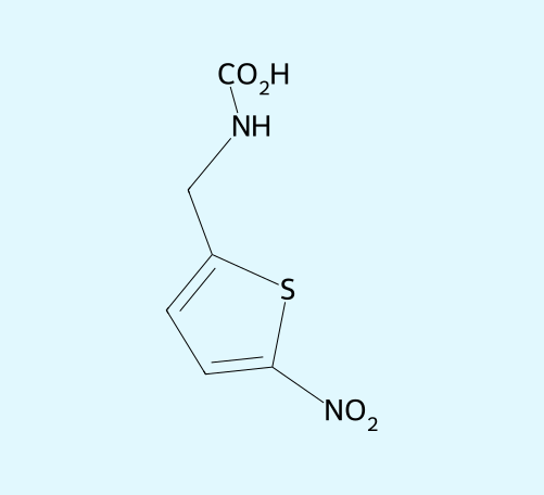 O=C(O)NCc1ccc([N+](=O)[O-])s1